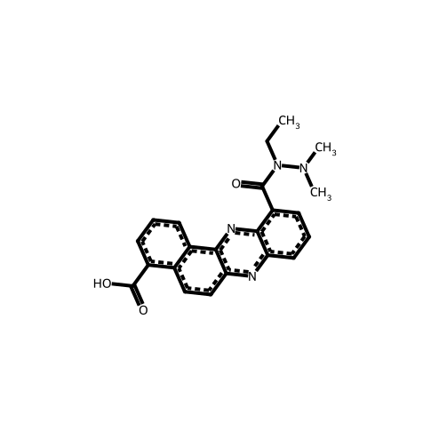 CCN(C(=O)c1cccc2nc3ccc4c(C(=O)O)cccc4c3nc12)N(C)C